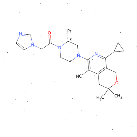 CC(C)[C@@H]1CN(c2nc(C3CC3)c3c(c2C#N)CC(C)(C)OC3)CCN1C(=O)Cn1ccnc1